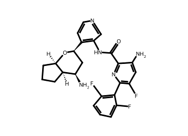 Nc1cc(F)c(-c2c(F)cccc2F)nc1C(=O)Nc1cnccc1[C@H]1C[C@@H](N)[C@H]2CCC[C@H]2O1